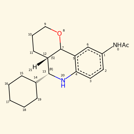 CC(=O)Nc1ccc2c(c1)C1OCCC[C@H]1[C@@H](C1CCCCC1)N2